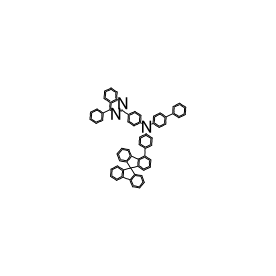 c1ccc(-c2ccc(N(c3ccc(-c4nc(-c5ccccc5)c5ccccc5n4)cc3)c3ccc(-c4cccc5c4-c4ccccc4C54c5ccccc5-c5ccccc54)cc3)cc2)cc1